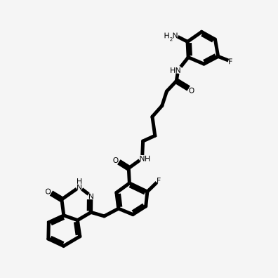 Nc1ccc(F)cc1NC(=O)CCCCCNC(=O)c1cc(Cc2n[nH]c(=O)c3ccccc23)ccc1F